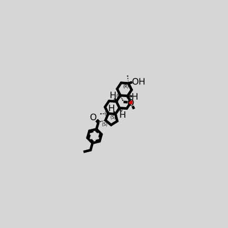 CCc1ccc(C(=O)[C@H]2CC[C@H]3[C@@H]4CC[C@H]5C[C@](C)(O)CC[C@]5(COC)[C@H]4CC[C@]23C)cc1